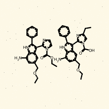 CCOCc1cc(N)c2[nH]c(-c3ccccc3)c(-c3nc(CC)cn3C(=O)O)c2c1.CCOCc1cc(N)c2[nH]c(-c3ccccc3)c(-c3nccn3C(=O)OCC)c2c1